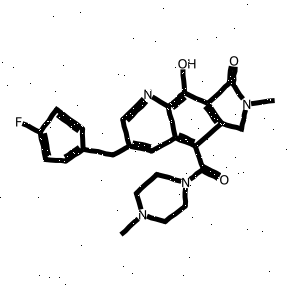 CN1CCN(C(=O)c2c3c(c(O)c4ncc(Cc5ccc(F)cc5)cc24)C(=O)N(C)C3)CC1